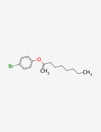 C=C(CCCCCCC)Oc1ccc(Br)cc1